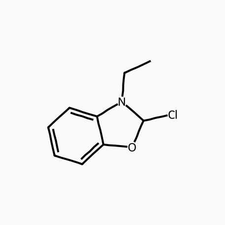 CCN1c2ccccc2OC1Cl